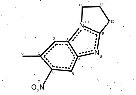 Cc1cc2c(cc1[N+](=O)[O-])nc1n2CCC1